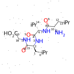 CC(C)C[C@H](NC(=O)[C@@H](NC(=O)[C@@H](N)CC(C)C)C(C)C)C(=O)NCC(=O)O